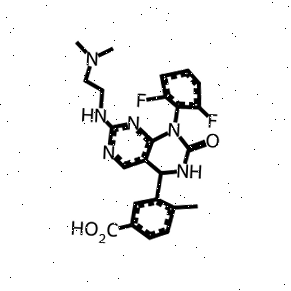 Cc1ccc(C(=O)O)cc1C1NC(=O)N(c2c(F)cccc2F)c2nc(NCCN(C)C)ncc21